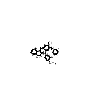 Cc1ccc(-[n+]2c3cc(Nc4ccccc4)c(C)cc3nc3c4ccccc4ccc32)cc1